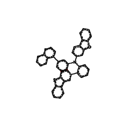 c1cc(-c2cccc3ccccc23)cc(N(c2ccc3c(c2)oc2ccccc23)c2ccccc2-c2ccc3sc4ccccc4c3c2)c1